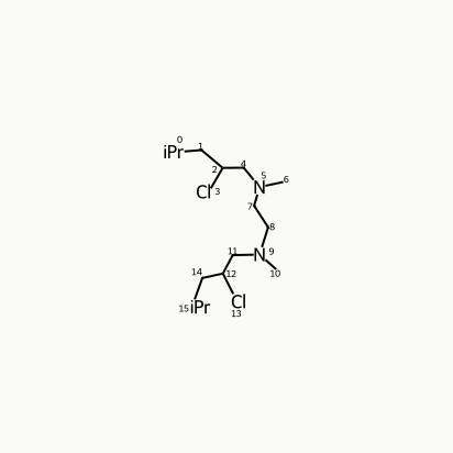 CC(C)CC(Cl)CN(C)CCN(C)CC(Cl)CC(C)C